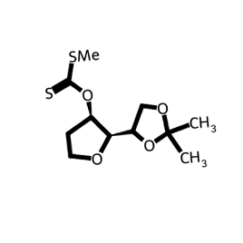 CSC(=S)O[C@@H]1CCO[C@@H]1C1COC(C)(C)O1